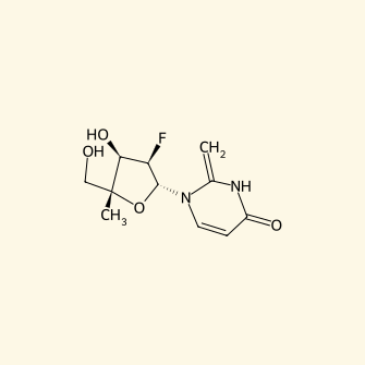 C=C1NC(=O)C=CN1[C@@H]1O[C@](C)(CO)[C@@H](O)[C@H]1F